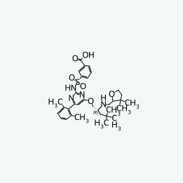 Cc1cccc(C)c1-c1cc(OC[C@@H](CC(C)(C)C)NCC2OCCC2(C)C)nc(NS(=O)(=O)c2cccc(C(=O)O)c2)n1